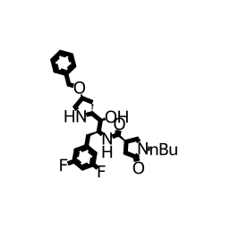 CCCCN1C[C@H](C(=O)N[C@@H](Cc2cc(F)cc(F)c2)[C@H](O)[C@H]2C[C@@H](OCc3ccccc3)CN2)CC1=O